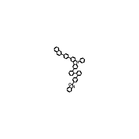 c1ccc(-n2c3ccc(-c4ccc(-c5ccc6ccccc6c5)cc4)cc3c3cc(-c4ccccc4-c4ccccc4-c4ccc(-c5nc6ccccc6o5)cc4)ccc32)cc1